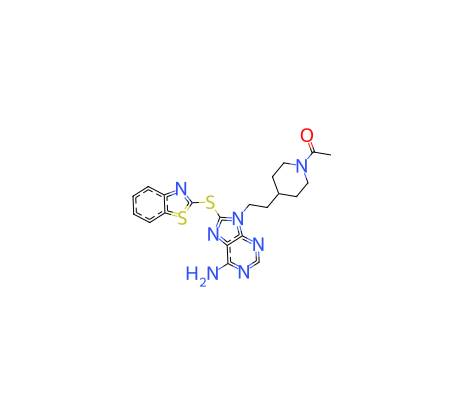 CC(=O)N1CCC(CCn2c(Sc3nc4ccccc4s3)nc3c(N)ncnc32)CC1